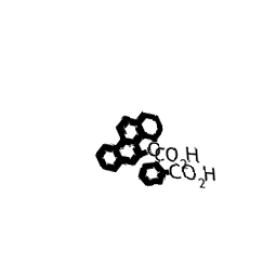 O=C(O)c1ccccc1C(=O)O.c1ccc2c(c1)cc1c3c4c(ccc32)CCCC4O1